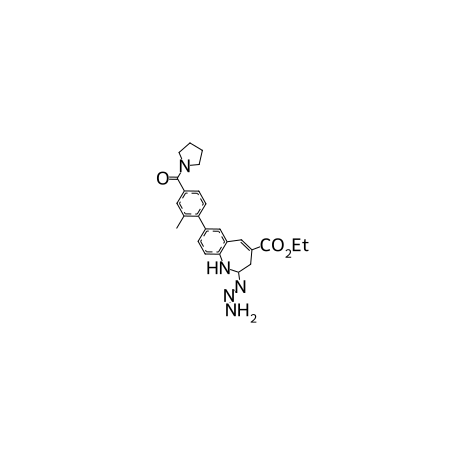 CCOC(=O)C1=Cc2cc(-c3ccc(C(=O)N4CCCC4)cc3C)ccc2NC(N=NN)C1